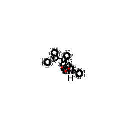 CC/C=C\C(CC1CN(c2ccccc2)C2CCC=CC12)S(Cc1c[nH]c(C2=CCCC=C2)c1)(c1ccccc1)c1ccccc1